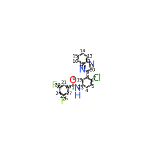 O=C(Nc1ccc(Cl)c(-c2cnc3ccccc3n2)c1)c1cc(F)cc(F)c1